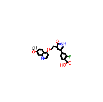 COc1ccc2c(OCCc3cc(-c4ccc(C(=O)O)c(F)c4)c[nH]c3=O)ccnc2c1